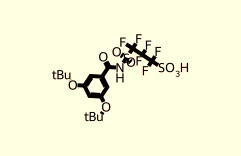 CC(C)(C)Oc1cc(OC(C)(C)C)cc(C(=O)NS(=O)(=O)C(F)(F)C(F)(F)C(F)(F)S(=O)(=O)O)c1